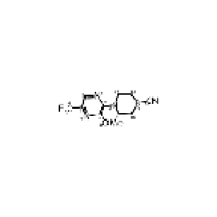 COc1nc(C(F)(F)F)cnc1N1CCB(C#N)CC1